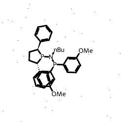 CCCCN(P(c1cccc(OC)c1)c1cccc(OC)c1)P1[C@H](c2ccccc2)CC[C@H]1c1ccccc1